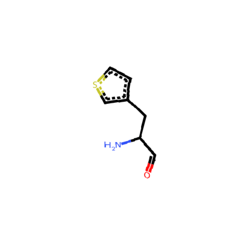 NC(C=O)Cc1ccsc1